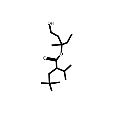 CCC(C)(CCO)OC(=O)C(CC(C)(C)C)C(C)C